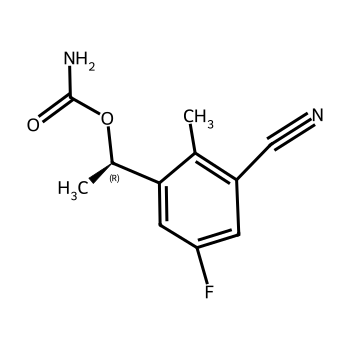 Cc1c(C#N)cc(F)cc1[C@@H](C)OC(N)=O